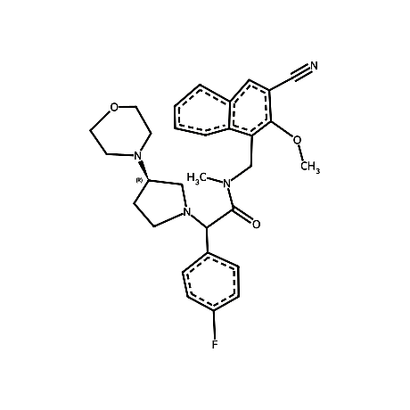 COc1c(C#N)cc2ccccc2c1CN(C)C(=O)C(c1ccc(F)cc1)N1CC[C@@H](N2CCOCC2)C1